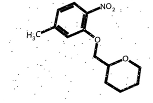 Cc1ccc([N+](=O)[O-])c(OCC2CCCCO2)c1